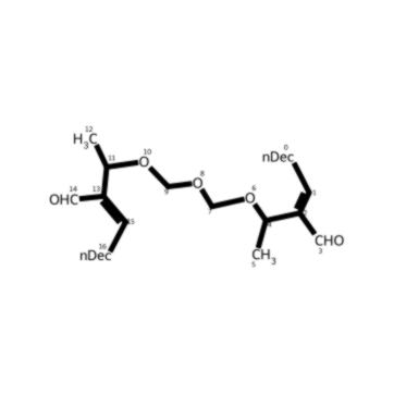 CCCCCCCCCCC=C(C=O)C(C)OCOCOC(C)C(C=O)=CCCCCCCCCCC